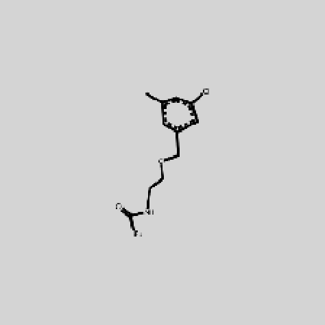 CCC(C)C(=O)NCCOCc1cc(C)cc(Cl)c1